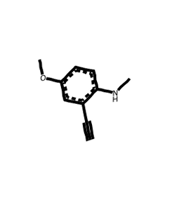 C#Cc1cc(OC)ccc1NC